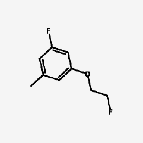 Cc1cc(F)cc(OCCF)c1